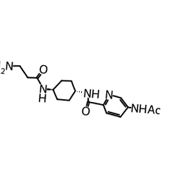 CC(=O)Nc1ccc(C(=O)N[C@H]2CC[C@H](NC(=O)CCN)CC2)nc1